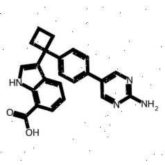 Nc1ncc(-c2ccc(C3(c4c[nH]c5c(C(=O)O)cccc45)CCC3)cc2)cn1